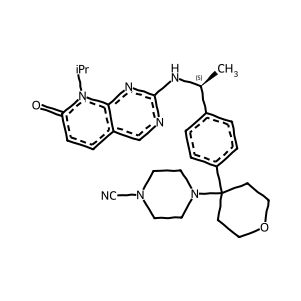 CC(C)n1c(=O)ccc2cnc(N[C@@H](C)c3ccc(C4(N5CCN(C#N)CC5)CCOCC4)cc3)nc21